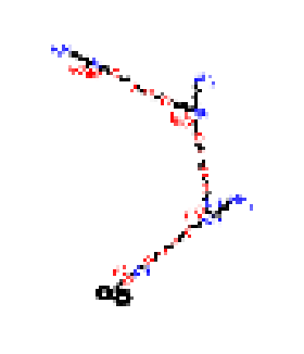 NCCCCC(NC(O)CCOCCOCCOCCOCCCC(O)C(CCCCN)NC(O)CCOCCOCCOCCOCCNC(O)C(CCCCN)NC(O)CCOCCOCCOCCOCCNC(O)OCC1c2ccccc2-c2ccccc21)C(O)O